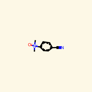 C[N+](C)([O-])c1ccc(C#N)cc1